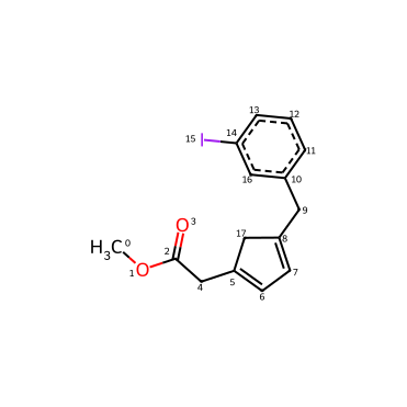 COC(=O)CC1=CC=C(Cc2cccc(I)c2)C1